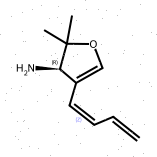 C=C/C=C\C1=COC(C)(C)[C@@H]1N